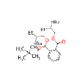 CCCCC(CC)COC(=O)c1ccccc1C(=O)OCC(CC)CCCC.C[Si](C)(C)C